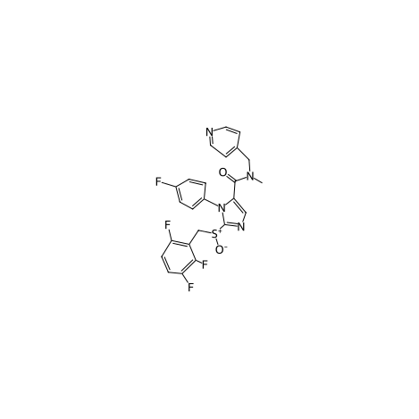 CN(Cc1ccncc1)C(=O)c1cnc([S+]([O-])Cc2c(F)ccc(F)c2F)n1-c1ccc(F)cc1